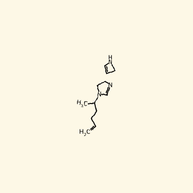 C1=CNC1.C=CCCC(C)N1C=NCC1